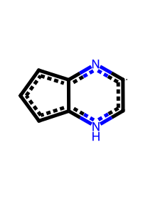 [c]1c[nH]c2cccc-2n1